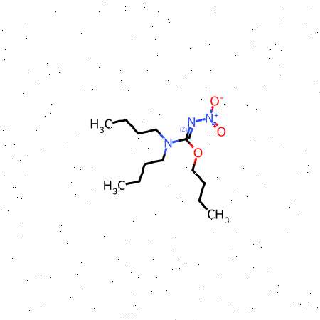 CCCCO/C(=N\[N+](=O)[O-])N(CCCC)CCCC